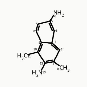 Cc1cc2cc(N)ccc2c(C)c1N